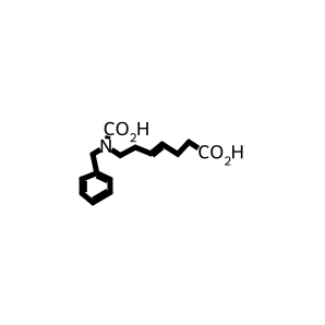 O=C(O)CCC=CCCN(Cc1ccccc1)C(=O)O